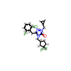 O=c1n(CC2CC2)nc(Cc2c(F)cccc2Cl)n1CC1CCC(F)(F)C1